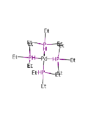 CC[PH](CC)(CC)[Pd]([PH](CC)(CC)CC)([PH](CC)(CC)CC)[PH](CC)(CC)CC